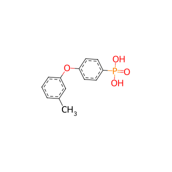 Cc1cccc(Oc2ccc(P(=O)(O)O)cc2)c1